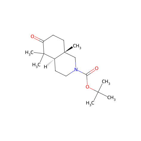 CC(C)(C)OC(=O)N1CC[C@H]2C(C)(C)C(=O)CC[C@]2(C)C1